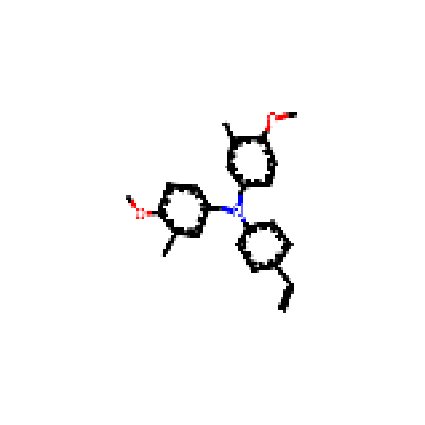 C=Cc1ccc(N(c2ccc(OC)c(C)c2)c2ccc(OC)c(C)c2)cc1